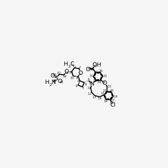 C[C@@H]1CO[C@@H]([C@@H]2CC[C@H]2CN2CCCCc3cc(Cl)ccc3COc3ccc(C(=O)O)cc32)C[C@@H]1OCCS(N)(=O)=O